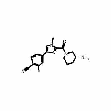 Cn1cc(-c2ccc(C#N)c(F)c2)nc1C(=O)N1CCC[C@@H](N)C1